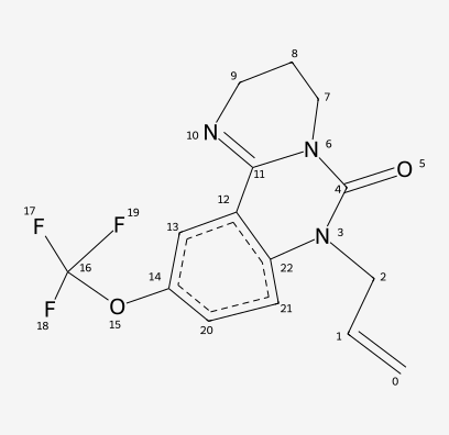 C=CCN1C(=O)N2CCCN=C2c2cc(OC(F)(F)F)ccc21